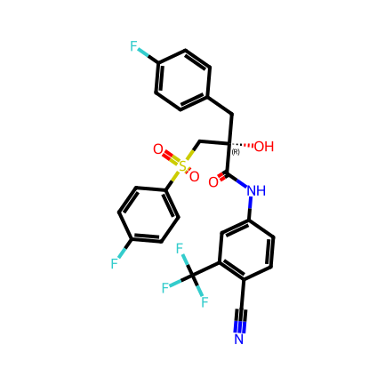 N#Cc1ccc(NC(=O)[C@](O)(Cc2ccc(F)cc2)CS(=O)(=O)c2ccc(F)cc2)cc1C(F)(F)F